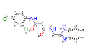 O=C(CC(=O)Nc1ccc(Cl)cc1Cl)NCc1nc2ccccc2[nH]1